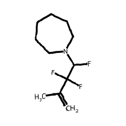 C=C(C)C(F)(F)C(F)N1CCCCCC1